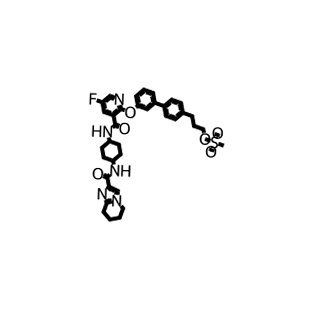 CS(=O)(=O)OCCCc1ccc(-c2cccc(Oc3ncc(F)cc3C(=O)NC3CCC(NC(=O)c4cn5c(n4)CCCC5)CC3)c2)cc1